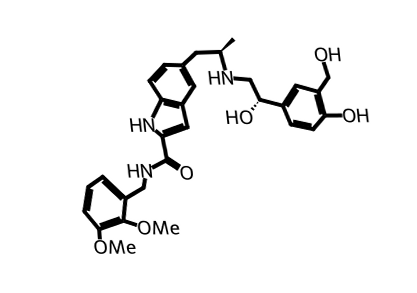 COc1cccc(CNC(=O)c2cc3cc(C[C@@H](C)NC[C@@H](O)c4ccc(O)c(CO)c4)ccc3[nH]2)c1OC